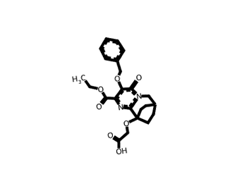 CCOC(=O)c1nc2n(c(=O)c1OCc1ccccc1)CC1CCC2(OCC(=O)O)CC1